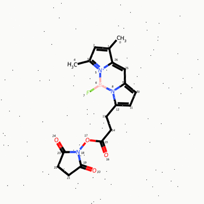 CC1=CC(C)=[N+]2B(F)n3c(ccc3CCC(=O)ON3C(=O)CCC3=O)C=C12